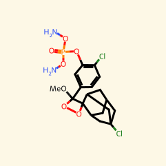 COC1(c2ccc(Cl)c(OP(=O)(ON)ON)c2)OOC12C1CC3CC2CC(Cl)(C3)C1